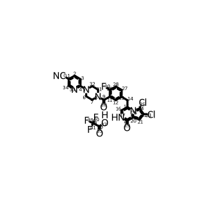 N#Cc1ccc(N2CCN(C(=O)c3cc(Cc4c[nH]c(=O)c5cc(Cl)c(Cl)n45)ccc3F)CC2)nc1.O=C(O)C(F)(F)F